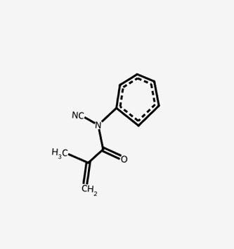 C=C(C)C(=O)N(C#N)c1ccccc1